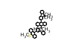 CSc1c2ccccc2c(-c2cc(-c3ccccc3)cc(-c3cccc4c(-c5ccc6c(c5)C(C)(C)c5ccccc5-6)c5ccccc5c(C(C)C)c34)c2)c2ccccc12